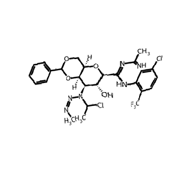 C/N=N\N(C(C)Cl)[C@@H]1[C@@H](O)[C@H](/C(=N/C(C)=N)Nc2cc(Cl)ccc2C(F)(F)F)O[C@@H]2COC(c3ccccc3)O[C@H]12